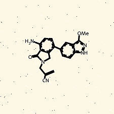 C=C(C#N)CN1Cc2c(-c3ccc4[nH]nc(OC)c4c3)ccc(N)c2C1=O